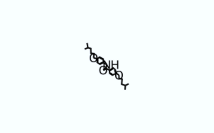 CC(C)CCCOc1ccc(NC(=O)c2ccc(OCCCC(C)C)cc2)cc1